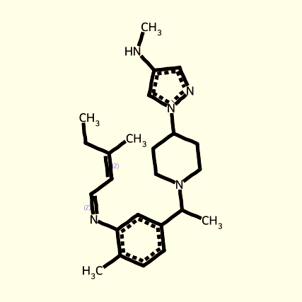 CC/C(C)=C\C=N/c1cc(C(C)N2CCC(n3cc(NC)cn3)CC2)ccc1C